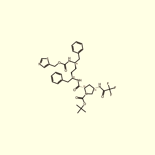 CC(C)(C)OC(=O)N1C[C@@H](NC(=O)C(F)(F)F)C[C@H]1C(=O)N[C@H](CC[C@H](Cc1ccccc1)NC(=O)OCc1cncs1)Cc1ccccc1